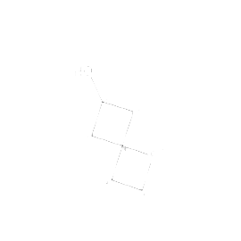 OC1CC2(CCS2)C1